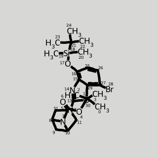 CC(C)(C)OC(=O)N1C2CC1CN(c1nc3c(O[Si](C)(C)C(C)(C)C)ccc(Br)c3o1)C2